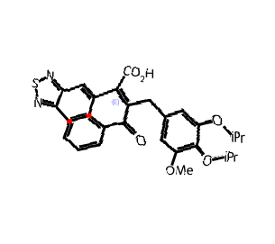 COc1cc(C/C(C(=O)c2ccccc2)=C(\C(=O)O)c2ccc3nsnc3c2)cc(OC(C)C)c1OC(C)C